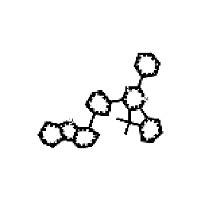 CC1(C)c2ccccc2-c2nc(-c3ccccc3)nc(-c3cccc(-c4cccc5c4oc4ccccc45)c3)c21